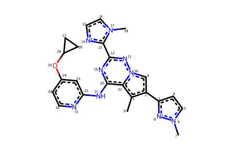 Cc1c(-c2ccn(C)n2)cn2nc(-c3nccn3C)nc(Nc3cc(OC4CC4)ccn3)c12